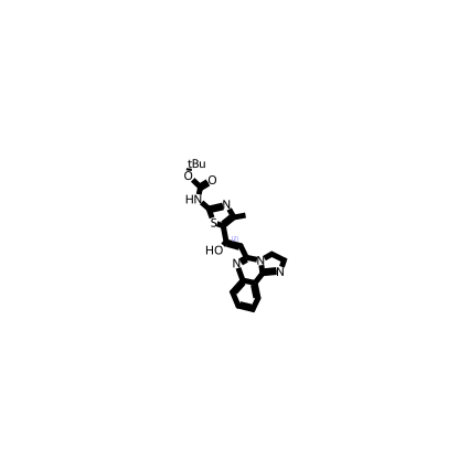 Cc1nc(NC(=O)OC(C)(C)C)sc1/C(O)=C/C1=Nc2ccccc2C2=NCCN12